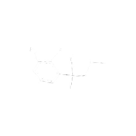 COCC(F)(F)c1cccc(Br)c1F